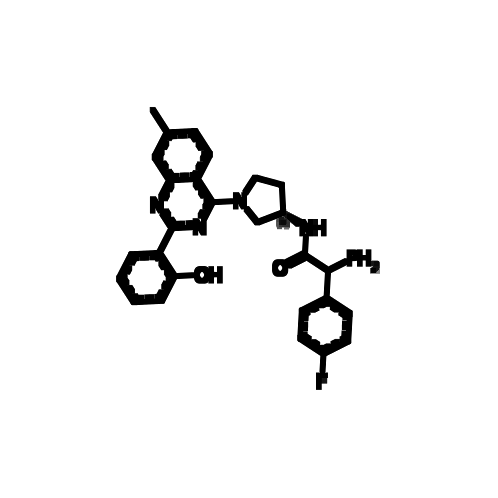 Cc1ccc2c(N3CC[C@@H](NC(=O)C(P)c4ccc(F)cc4)C3)nc(-c3ccccc3O)nc2c1